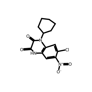 O=c1[nH]c2cc([N+](=O)[O-])c(Cl)cc2n(C2CCCCC2)c1=O